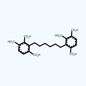 O=C(O)c1ccc(C(=O)O)c(C(=O)O)c1CCCCCCc1c(C(=O)O)ccc(C(=O)O)c1C(=O)O